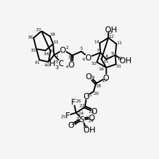 CC1(OC(=O)COC23CC4(O)CC(O)(C2)CC(OC(=O)COC(=O)C(F)(F)S(=O)(=O)O)(C4)C3)C2CC3CC(C2)CC1C3